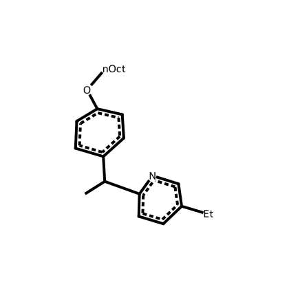 CCCCCCCCOc1ccc(C(C)c2ccc(CC)cn2)cc1